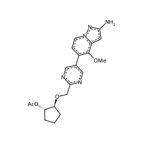 COc1c(-c2cnc(CO[C@H]3CCC[C@@H]3OC(C)=O)nc2)ccn2nc(N)cc12